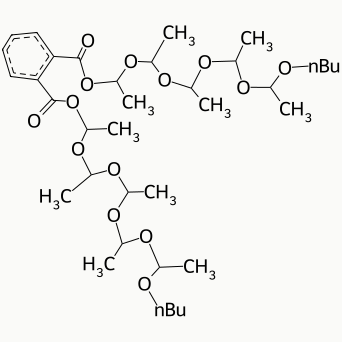 CCCCOC(C)OC(C)OC(C)OC(C)OC(C)OC(=O)c1ccccc1C(=O)OC(C)OC(C)OC(C)OC(C)OC(C)OCCCC